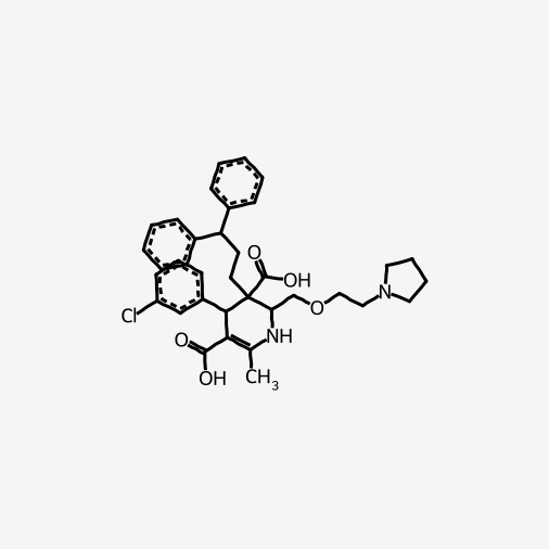 CC1=C(C(=O)O)C(c2cccc(Cl)c2)C(CCC(c2ccccc2)c2ccccc2)(C(=O)O)C(COCCN2CCCC2)N1